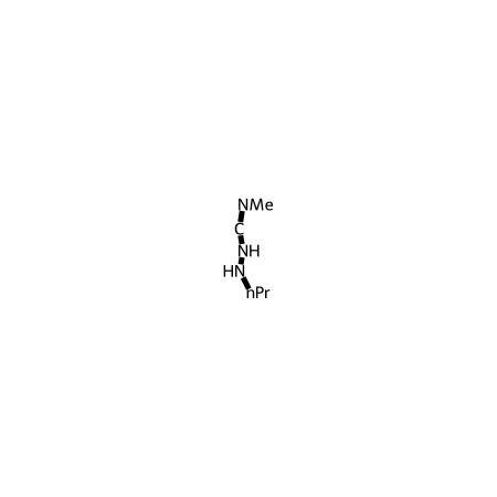 CCCNNCNC